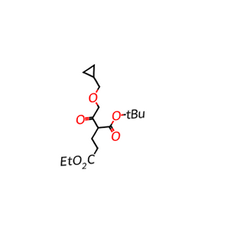 CCOC(=O)CCC(C(=O)COCC1CC1)C(=O)OC(C)(C)C